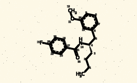 CCCC[C@@H](Cc1cccc(OC)c1)NC(=O)c1ccc(F)cc1